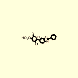 CCc1cc(C(=O)O)c(=O)[nH]c1-c1ccc2nc(-c3ccccc3)oc2c1